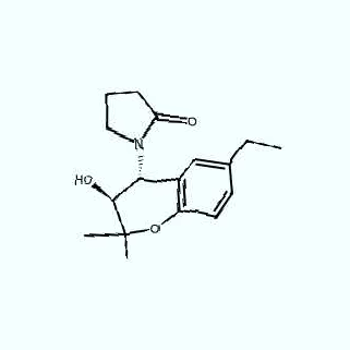 CCc1ccc2c(c1)[C@@H](N1CCCC1=O)[C@H](O)C(C)(C)O2